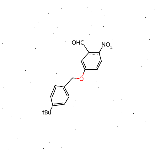 CC(C)(C)c1ccc(COc2ccc([N+](=O)[O-])c(C=O)c2)cc1